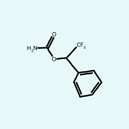 NC(=O)O[C](c1ccccc1)C(F)(F)F